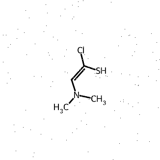 CN(C)/C=C(\S)Cl